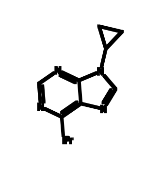 CC(C)c1ncnc2c1ncn2C1CC1